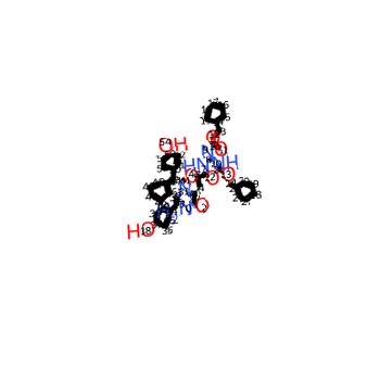 NC(=O)[C@@H](CCCNC(=NC(=O)OCc1ccccc1)NC(=O)OCc1ccccc1)N(CCc1ccc(O)cc1)C(=O)[C@H](c1ccccc1)c1ccc(O)cc1